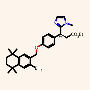 Bc1cc2c(cc1COc1ccc([C@H](CC(=O)OCC)c3nccn3C)cc1)C(C)(C)CCC2(C)C